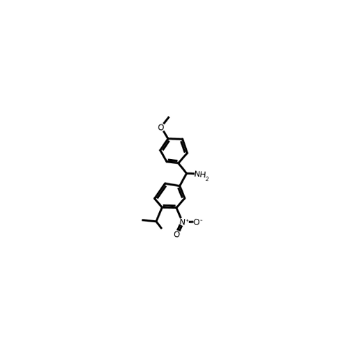 COc1ccc(C(N)c2ccc(C(C)C)c([N+](=O)[O-])c2)cc1